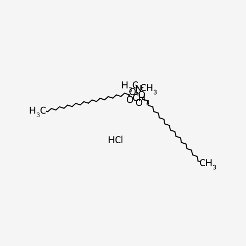 CCCCCCCCCCCCCCCCCCCCCC(=O)OC(C)(OC(=O)CCCCCCCCCCCCCCCCCCCCC)N(C)C.Cl